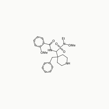 CCN(OC)S(=O)(=O)C(NC(=O)c1ccccc1OC)C1(Cc2ccccc2)CCNCC1